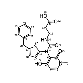 Cn1ccc(O)c(N(C(=O)NCCC(=O)O)c2ccc(Cc3ccccc3)s2)c1=O